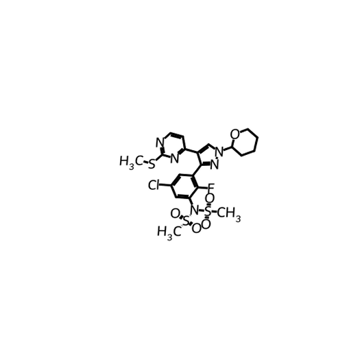 CSc1nccc(-c2cn(C3CCCCO3)nc2-c2cc(Cl)cc(N(S(C)(=O)=O)S(C)(=O)=O)c2F)n1